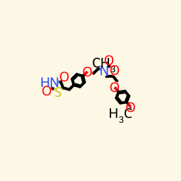 COc1ccc(OCC2CN(C(C)COc3ccc(CC4SC(=O)NC4=O)cc3)C(=O)O2)cc1